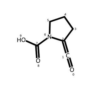 O=C=C1CCCN1C(=O)O